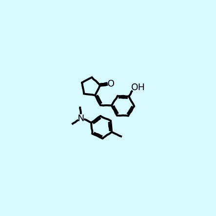 Cc1ccc(N(C)C)cc1.O=C1CCCC1=Cc1cccc(O)c1